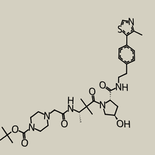 Cc1ncsc1-c1ccc(CCNC(=O)[C@@H]2C[C@@H](O)CN2C(=O)C(C)(C)[C@H](C)NC(=O)CN2CCN(C(=O)OC(C)(C)C)CC2)cc1